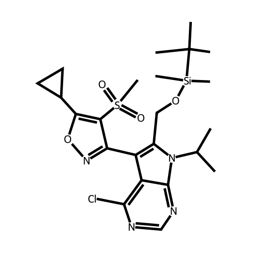 CC(C)n1c(CO[Si](C)(C)C(C)(C)C)c(-c2noc(C3CC3)c2S(C)(=O)=O)c2c(Cl)ncnc21